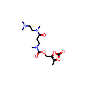 Cc1oc(=O)oc1COC(=O)N(C)CCC(=O)N(C)CCN(C)C